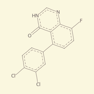 O=c1[nH]cnc2c(F)ccc(-c3ccc(Cl)c(Cl)c3)c12